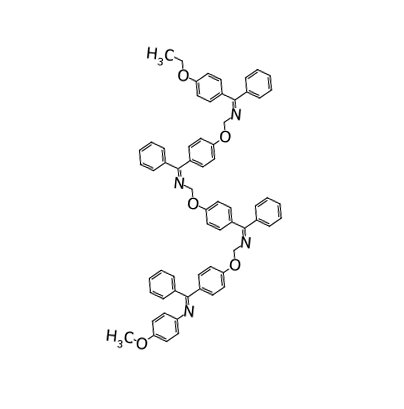 CCOc1ccc(/C(=N\COc2ccc(/C(=N\COc3ccc(/C(=N\COc4ccc(C(=Nc5ccc(OC)cc5)c5ccccc5)cc4)c4ccccc4)cc3)c3ccccc3)cc2)c2ccccc2)cc1